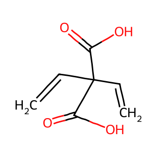 C=CC(C=C)(C(=O)O)C(=O)O